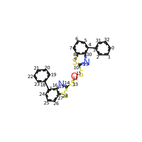 c1ccc(-c2cccc3sc(SOSc4nc5c(-c6ccccc6)cccc5s4)nc23)cc1